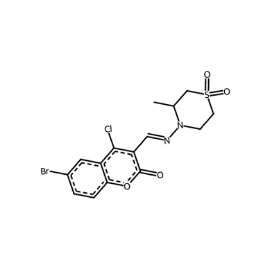 CC1CS(=O)(=O)CCN1N=Cc1c(Cl)c2cc(Br)ccc2oc1=O